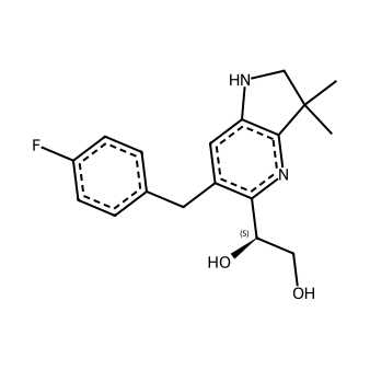 CC1(C)CNc2cc(Cc3ccc(F)cc3)c([C@H](O)CO)nc21